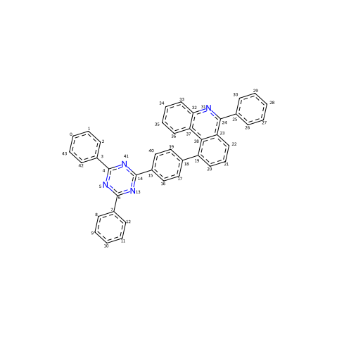 c1ccc(-c2nc(-c3ccccc3)nc(-c3ccc(-c4cccc5c(-c6ccccc6)nc6ccccc6c45)cc3)n2)cc1